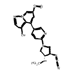 CCOc1cc(-c2ccc(N3C[C@@H](N=[N+]=[N-])[C@H](NC(=O)O)C3)nc2)c2c(C#N)cnn2c1